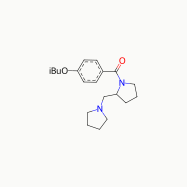 CC(C)COc1ccc(C(=O)N2CCCC2CN2CCCC2)cc1